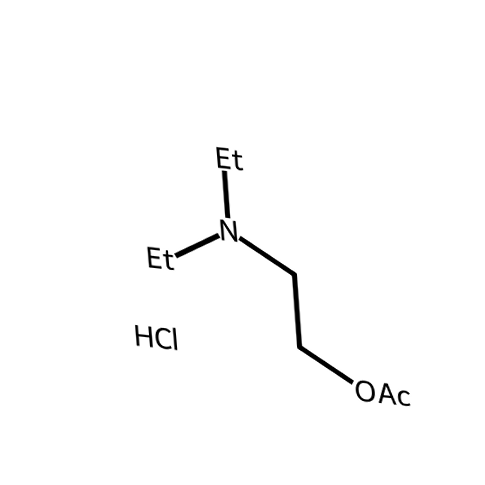 CCN(CC)CCOC(C)=O.Cl